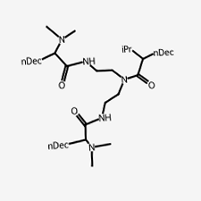 CCCCCCCCCCC(C(=O)N(CCNC(=O)C(CCCCCCCCCC)N(C)C)CCNC(=O)C(CCCCCCCCCC)N(C)C)C(C)C